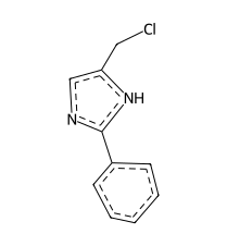 ClCc1cnc(-c2ccccc2)[nH]1